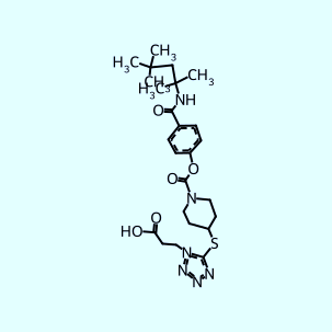 CC(C)(C)CC(C)(C)NC(=O)c1ccc(OC(=O)N2CCC(Sc3nnnn3CCC(=O)O)CC2)cc1